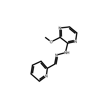 COc1nccnc1NN=Cc1ccccn1